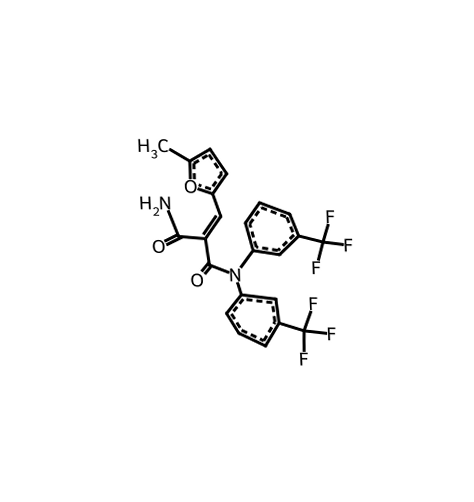 Cc1ccc(C=C(C(N)=O)C(=O)N(c2cccc(C(F)(F)F)c2)c2cccc(C(F)(F)F)c2)o1